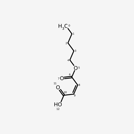 CCCCCOC(=O)/C=C\C(=O)O